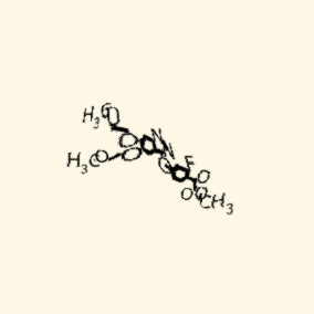 CCOC(=O)C(=O)c1ccc(Oc2ncnc3cc(OCCOC)c(OCCOC)cc23)cc1F